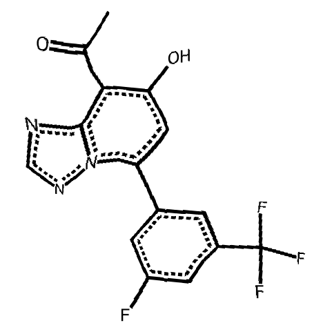 CC(=O)c1c(O)cc(-c2cc(F)cc(C(F)(F)F)c2)n2ncnc12